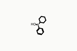 ON(c1ccccc1)C1CCCCC1